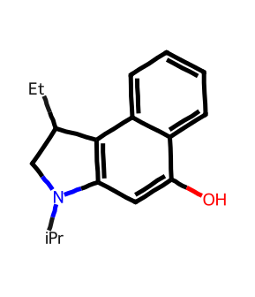 CCC1CN(C(C)C)c2cc(O)c3ccccc3c21